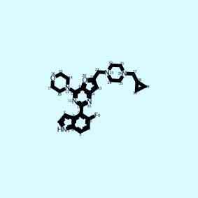 Fc1ccc2[nH]ccc2c1-c1nc(N2CCOCC2)c2oc(CN3CCN(CC4CC4)CC3)cc2n1